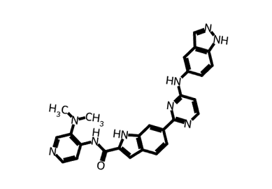 CN(C)c1cnccc1NC(=O)c1cc2ccc(-c3nccc(Nc4ccc5[nH]ncc5c4)n3)cc2[nH]1